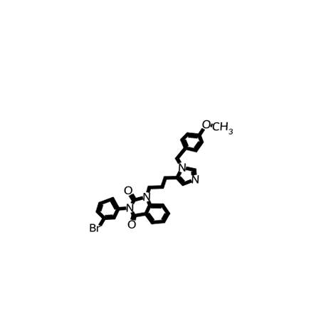 COc1ccc(Cn2cncc2CCCn2c(=O)n(-c3cccc(Br)c3)c(=O)c3ccccc32)cc1